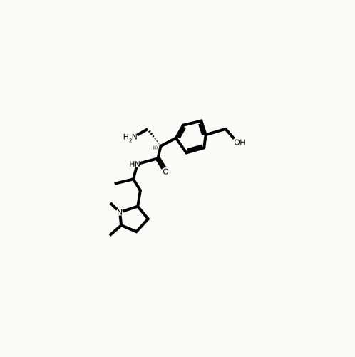 CC(CC1CCC(C)N1C)NC(=O)[C@H](CN)c1ccc(CO)cc1